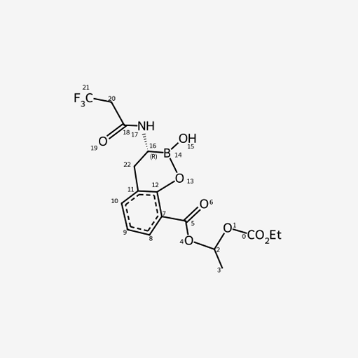 CCOC(=O)OC(C)OC(=O)c1cccc2c1OB(O)[C@@H](NC(=O)CC(F)(F)F)C2